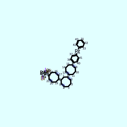 C1=C\CC/C=C\CC/1.C1=C\CC/C=C\CC/1.C1=C\CC/C=C\CC/1.[Br][Pt][Br].[I][Pt][I].[Pt+2].c1cc[c]([Pt][c]2ccccc2)cc1